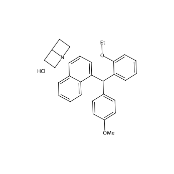 C1CN2CCC12.CCOc1ccccc1C(c1ccc(OC)cc1)c1cccc2ccccc12.Cl